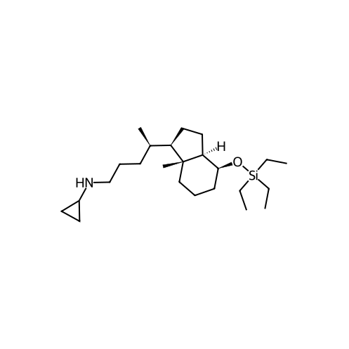 CC[Si](CC)(CC)O[C@H]1CCC[C@]2(C)[C@@H]([C@H](C)CCCNC3CC3)CC[C@@H]12